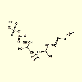 CC(=O)[O-].CC(=O)[O-].O=P[O-].O=P[O-].O=S(=O)([O-])[O-].OB(O)O.OB(O)O.[NH4+].[NH4+].[Na+].[Na+].[Ni+2]